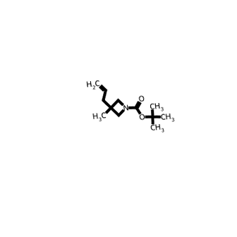 C=CCC1(C)CN(C(=O)OC(C)(C)C)C1